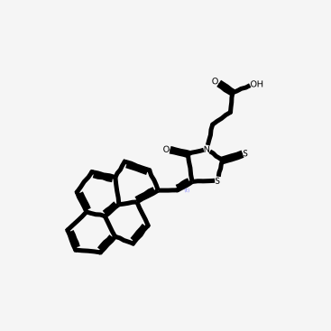 O=C(O)CCN1C(=O)/C(=C\c2ccc3ccc4cccc5ccc2c3c45)SC1=S